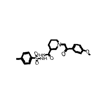 COc1ccc(C(=O)CN2CCCC(C(=O)NNS(=O)(=O)c3ccc(C)cc3)C2)cc1